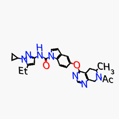 CCc1cc(NC(=O)n2ccc3cc(Oc4ncnc5c4CC(C)N(C(C)=O)C5)ccc32)nn1C1CC1